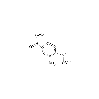 COC(=O)c1ccc(N(C)OC)c(N)c1